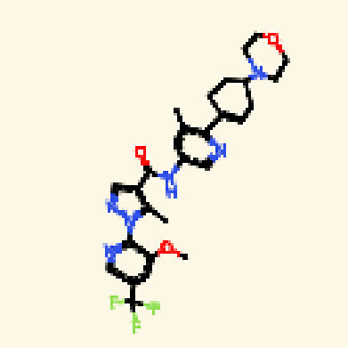 COc1cc(C(F)(F)F)cnc1-n1ncc(C(=O)Nc2cnc(C3=CCC(N4CCOCC4)CC3)c(C)c2)c1C